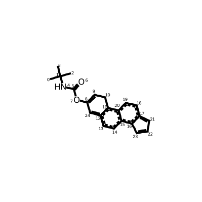 CC(C)(C)NC(=O)OC1=CCc2c(ccc3c4c(ccc23)=CC=C4)=C1